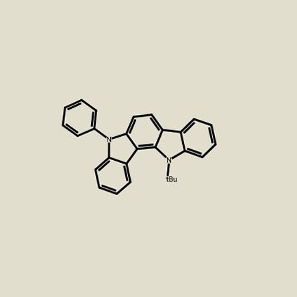 CC(C)(C)n1c2ccccc2c2ccc3c(c4ccccc4n3-c3ccccc3)c21